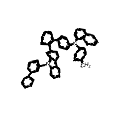 Cc1ccc(N(c2ccc(-c3ccccc3-c3ccc4c5ccccc5n(-c5cccc(-c6ccccc6)c5)c4c3)cc2)c2cccc3ccccc23)cc1